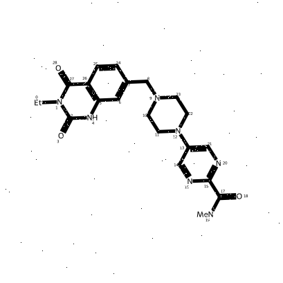 CCn1c(=O)[nH]c2cc(CN3CCN(c4cnc(C(=O)NC)nc4)CC3)ccc2c1=O